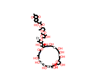 CCC(OC1CC(C)(O)C(OC2CCC(OC(=O)C(C)C(O)c3ccc4c(c3)C(=O)C=C(C)C4=O)C(C)O2)C(C)O1)C(C)C(O)C(C)C(O)C(C)C1OC(=O)/C=C/C(C)C(O)CC(O)CCCC(O)CCC(C)C(O)C(=O)C2(O)CC(O)CC(CC(O)CC(O)CC(O)CCCC(O)/C=C/C1C)O2